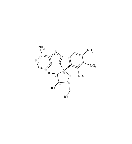 Nc1ncnc2c1ncn2[C@]1(c2ccc([N+](=O)[O-])c([N+](=O)[O-])c2[N+](=O)[O-])O[C@H](CO)[C@@H](O)[C@H]1O